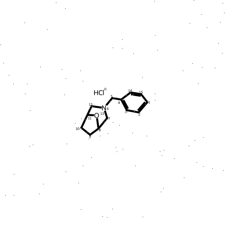 Cl.c1ccc(CN2CC3CCC(C2)O3)cc1